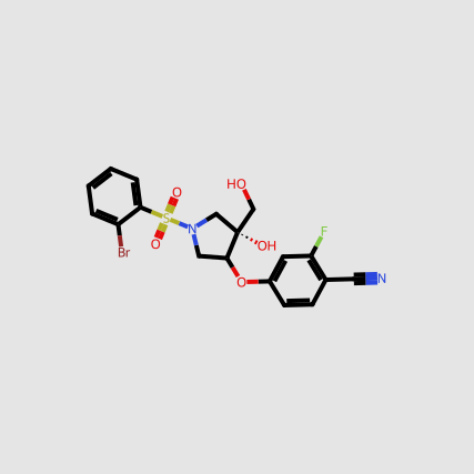 N#Cc1ccc(OC2CN(S(=O)(=O)c3ccccc3Br)C[C@@]2(O)CO)cc1F